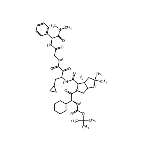 CN(C)C(=O)[C@@H](NC(=O)CNC(=O)C(=O)C(CC1CC1)NC(=O)C1[C@H]2CC(C)(C)OC2CN1C(=O)[C@@H](NC(=O)OC(C)(C)C)C1CCCCC1)c1ccccc1